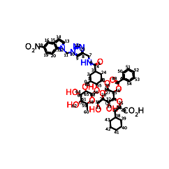 CC1CC(C(=O)NCc2cn(Cn3ccc4cc([N+](=O)[O-])ccc43)nn2)C[C@@H](O[C@@H]2OC(CO)[C@H](O)C(O[C@@H](CC3CCCCC3)C(=O)O)C2OC(=O)c2ccccc2)C1O[C@@H]1OC(C)[C@@H](O)C(O)C1O